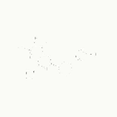 CC1=NC2C(C3CCO3)=NC(N3CCO[C@@H](c4cnn(C)c4)C3)=NC2C(=O)N1C